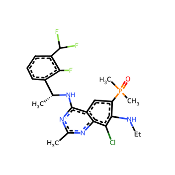 CCNc1c(P(C)(C)=O)cc2c(N[C@H](C)c3cccc(C(F)F)c3F)nc(C)nc2c1Cl